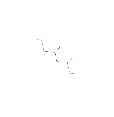 CC(=O)C(=O)C[C@H](O)[C@H](O)CO